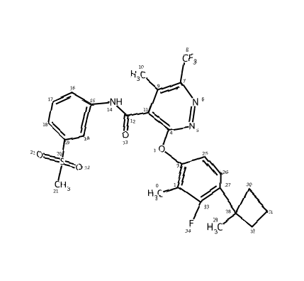 Cc1c(Oc2nnc(C(F)(F)F)c(C)c2C(=O)Nc2cccc(S(C)(=O)=O)c2)ccc(C2(C)CCC2)c1F